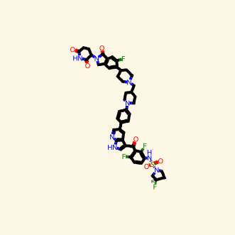 O=C1CCC(N2Cc3cc(C4CCN(CC5CCN(c6ccc(-c7cnc8[nH]cc(C(=O)c9c(F)ccc(NS(=O)(=O)N%10CC[C@@H](F)C%10)c9F)c8c7)cc6)CC5)CC4)c(F)cc3C2=O)C(=O)N1